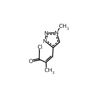 CC(=Cc1cn(C)nn1)C(=O)Cl